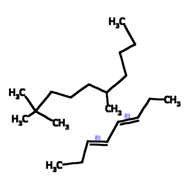 CC/C=C/C=C/CC.CCCCC(C)CCCC(C)(C)C